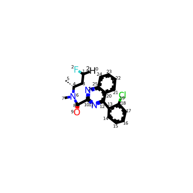 [2H]C(F)C[C@@H](C)N(C)C(=O)c1nc(-c2ccccc2Cl)c2ccccc2n1